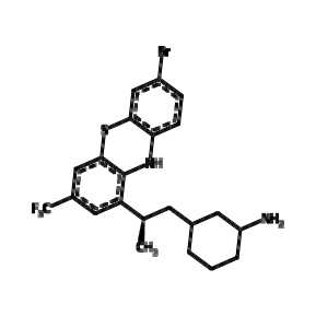 C[C@H](CC1CCCC(N)C1)c1cc(C(F)(F)F)cc2c1Nc1ccc(Br)cc1S2